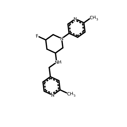 Cc1ccc(N2CC(F)CC(NCc3ccnc(C)c3)C2)cn1